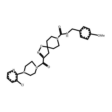 COc1ccc(CNC(=O)N2CCC3(CC2)CC(C(=O)N2CCN(c4ncccc4Cl)CC2)=NO3)cc1